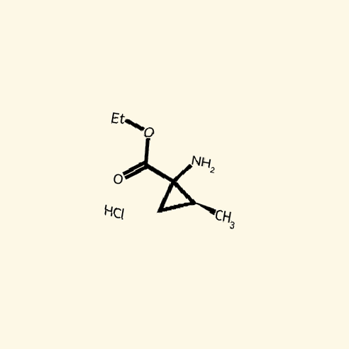 CCOC(=O)C1(N)C[C@@H]1C.Cl